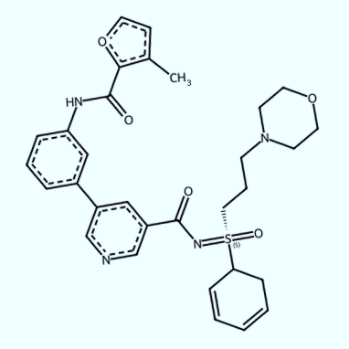 Cc1ccoc1C(=O)Nc1cccc(-c2cncc(C(=O)N=[S@](=O)(CCCN3CCOCC3)C3C=CC=CC3)c2)c1